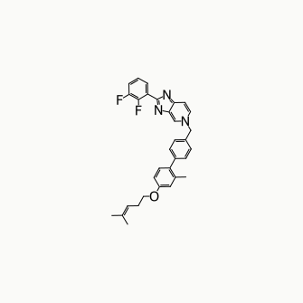 CC(C)=CCCOc1ccc(-c2ccc(Cn3ccc4nc(-c5cccc(F)c5F)nc-4c3)cc2)c(C)c1